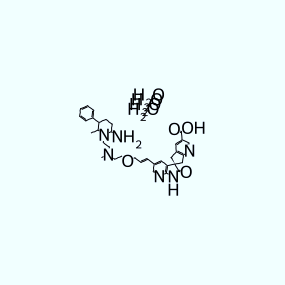 CC1C(c2ccccc2)CCC(N)N1CCN(C)CCOC/C=C/c1cnc2c(c1)[C@@]1(Cc3cc(C(=O)O)cnc3C1)C(=O)N2.O.O.O.O